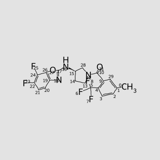 Cc1ccc(C(F)(F)F)c(C(=O)N2CC[C@@H](Nc3nc4ccc(F)c(F)c4o3)C2)c1